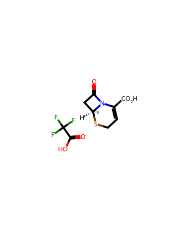 O=C(O)C(F)(F)F.O=C(O)C1=CCS[C@H]2CC(=O)N12